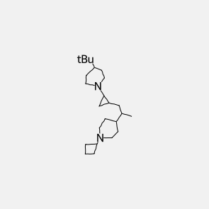 CC(CC1CC1N1CCC(C(C)(C)C)CC1)C1CCN(C2CCC2)CC1